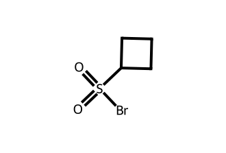 O=S(=O)(Br)C1CCC1